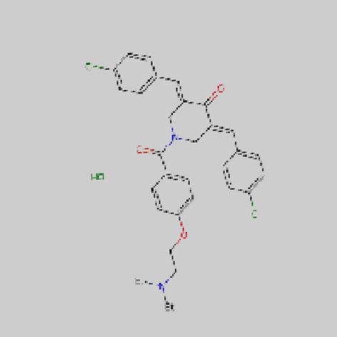 CCN(CC)CCOc1ccc(C(=O)N2CC(=Cc3ccc(Cl)cc3)C(=O)C(=Cc3ccc(Cl)cc3)C2)cc1.Cl